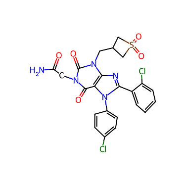 NC(=O)Cn1c(=O)c2c(nc(-c3ccccc3Cl)n2-c2ccc(Cl)cc2)n(CC2CS(=O)(=O)C2)c1=O